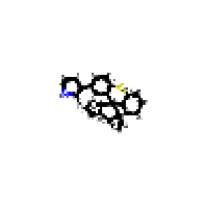 O=[N+]([O-])c1ncccc1-c1ccc2c(c1)C1(c3ccccc3S2)c2ccccc2-c2ccccc21